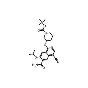 CC(C)Oc1cc2c(O[C@@H]3CCCN(C(=O)OC(C)(C)C)C3)ncc(C#N)c2cc1C(N)=O